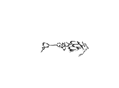 CC1C(=O)N(c2ccc(C#Cc3cccc(F)c3)cn2)CCC1(C)C